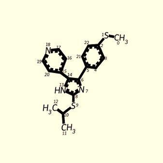 CSc1ccc(-c2nc(SC(C)C)[nH]c2-c2ccncc2)cc1